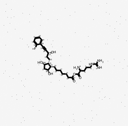 N=C(N)NCCCC(N)C(=O)OC(=O)CCCCCC[C@@H]1[C@@H](CC[C@@H](O)C#Cc2ccccc2F)[C@H](O)C[C@@H]1O